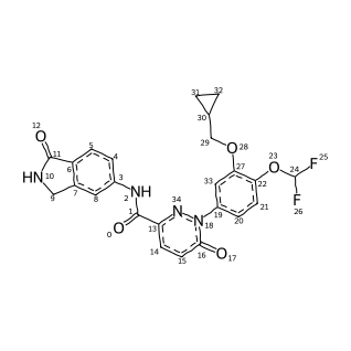 O=C(Nc1ccc2c(c1)CNC2=O)c1ccc(=O)n(-c2ccc(OC(F)F)c(OCC3CC3)c2)n1